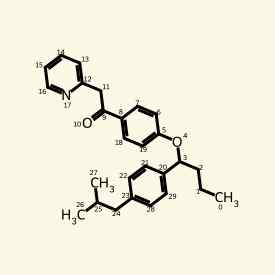 CCCC(Oc1ccc(C(=O)Cc2ccccn2)cc1)c1ccc(CC(C)C)cc1